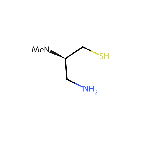 CN[C@H](CN)CS